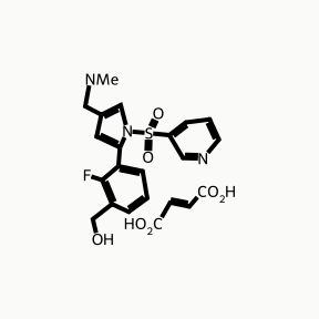 CNCc1cc(-c2cccc(CO)c2F)n(S(=O)(=O)c2cccnc2)c1.O=C(O)/C=C/C(=O)O